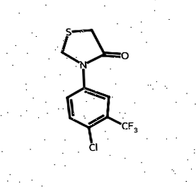 O=C1CSCN1c1ccc(Cl)c(C(F)(F)F)c1